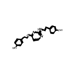 Oc1ccc(CCNc2ccnc(NCCc3ccc(O)cc3)n2)cc1